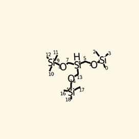 C[Si](C)(C)OC[SiH](CO[Si](C)(C)C)CO[Si](C)(C)C